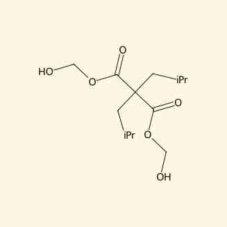 CC(C)CC(CC(C)C)(C(=O)OCO)C(=O)OCO